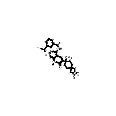 COC1(c2cc3c(N[C@H](C)c4cccc(C(F)F)c4)nncc3n(C)c2=O)CCC2(CC1)CS(=O)(=O)C2